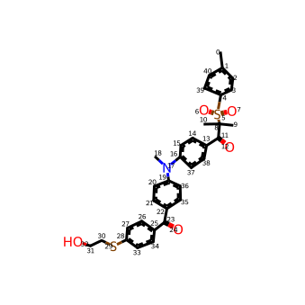 Cc1ccc(S(=O)(=O)C(C)(C)C(=O)c2ccc(N(C)c3ccc(C(=O)c4ccc(SCCO)cc4)cc3)cc2)cc1